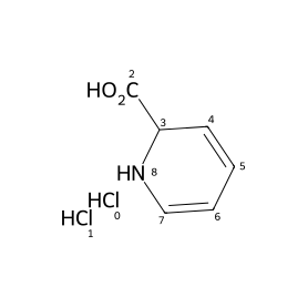 Cl.Cl.O=C(O)C1C=CC=CN1